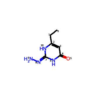 CCc1cc(=O)[nH]/c(=N/N)[nH]1